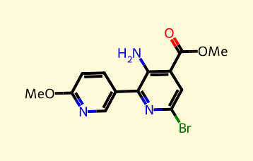 COC(=O)c1cc(Br)nc(-c2ccc(OC)nc2)c1N